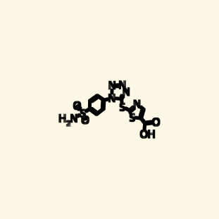 NS(=O)(=O)c1ccc(-n2nnnc2Sc2ncc(C(=O)O)s2)cc1